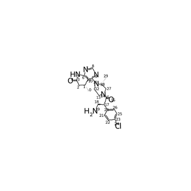 C[C@@H]1CC(=O)Nc2ncnc(N3CCN(C(=O)[C@H](CN)c4ccc(Cl)cc4)C[C@H]3C)c21